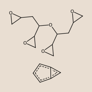 C1OC1CC(OC(CC1CO1)C1CO1)C1CO1.c1cc2cc-2c1